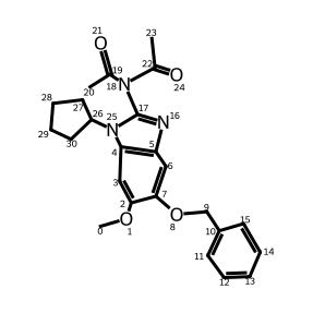 COc1cc2c(cc1OCc1ccccc1)nc(N(C(C)=O)C(C)=O)n2C1CCCC1